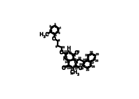 Cc1ccccc1OCCCOc1nc2c(=O)n(C)c(=O)n(Cc3cccc4ccccc34)c2c(=O)[nH]1